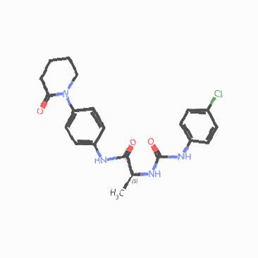 C[C@H](NC(=O)Nc1ccc(Cl)cc1)C(=O)Nc1ccc(N2CCCCC2=O)cc1